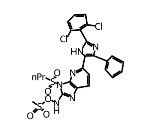 CCCS(=O)(=O)n1c(NOS(C)(=O)=O)nc2ccc(-c3[nH]c(-c4c(Cl)cccc4Cl)nc3-c3ccccc3)nc21